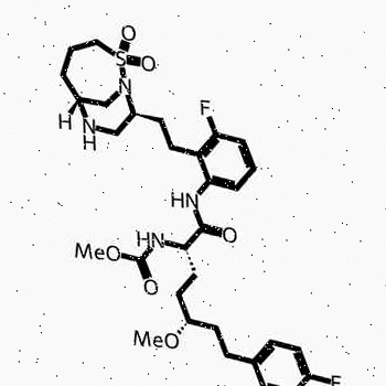 COC(=O)N[C@@H](CC[C@H](CCc1ccc(F)cc1)OC)C(=O)Nc1cccc(F)c1CC[C@H]1CN[C@@H]2CCCS(=O)(=O)N1C2